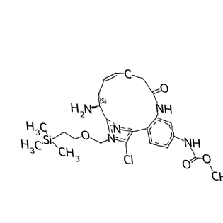 COC(=O)Nc1ccc2c(c1)NC(=O)CCC=CC[C@H](N)c1nc-2c(Cl)n1COCC[Si](C)(C)C